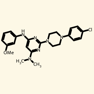 COc1cccc(Nc2cc(N(C)C)nc(N3CCN(c4ccc(Cl)cc4)CC3)n2)c1